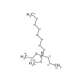 CCCCCCCC[PH](CC)(CCC)CCC